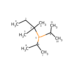 CCC(C)(C)P(C(C)C)C(C)C